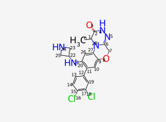 CC1C(=O)NN=C2COc3cc(-c4ccc(Cl)c(Cl)c4)c(NC4CNC4)cc3N21